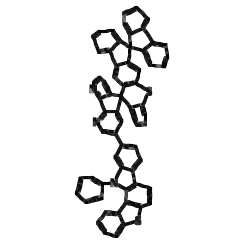 c1ccc(-n2c3cc(-c4cnc5c(c4)C4(c6ccccc6Sc6cc7c(cc64)-c4ccccc4C74c6ccccc6-c6ccccc64)c4cccnc4-5)ccc3c3ccc4sc5ccccc5c4c32)cc1